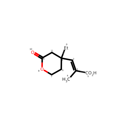 CCC1(C=C(C)C(=O)O)CCOC(=O)C1